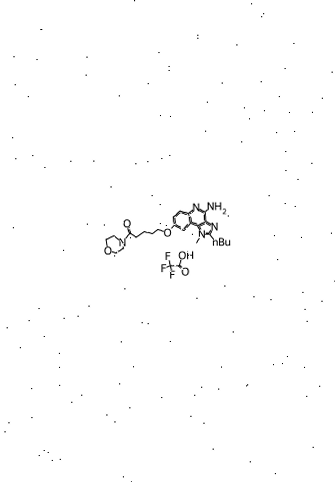 CCCCc1nc2c(N)nc3ccc(OCCCCC(=O)N4CCOCC4)cc3c2n1C.O=C(O)C(F)(F)F